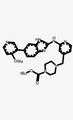 COc1ccncc1-c1ccc2nc(Nc3cc(CN4CCN(C(=O)OC(C)(C)C)CC4)ccn3)[nH]c2c1